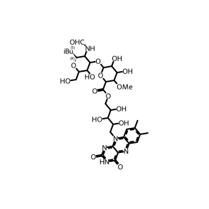 CC[C@H](C)[C@H]1OC(CO)C(O)C(OC2OC(C(=O)OCC(O)C(O)C(O)Cn3c4nc(=O)[nH]c(=O)c-4nc4cc(C)c(C)cc43)C(OC)C(O)C2O)C1NC=O